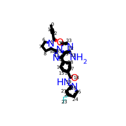 CC#CC(=O)N1CCCC1c1nc(-c2ccc(C(=O)Nc3cc(F)ccn3)cc2)c2c(N)nccn12